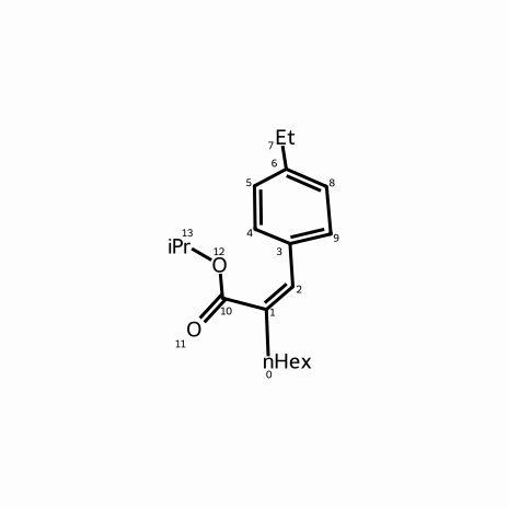 CCCCCCC(=Cc1ccc(CC)cc1)C(=O)OC(C)C